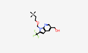 C[Si](C)(C)CCOCn1c(C(F)(F)F)cc2cc(CO)cnc21